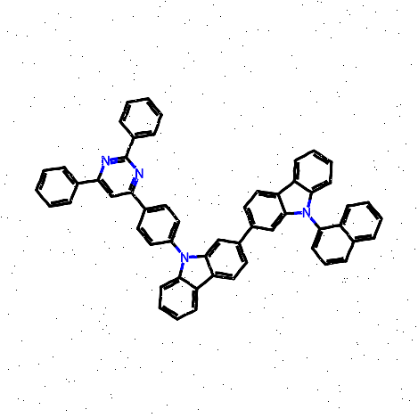 c1ccc(-c2cc(-c3ccc(-n4c5ccccc5c5ccc(-c6ccc7c8ccccc8n(-c8cccc9ccccc89)c7c6)cc54)cc3)nc(-c3ccccc3)n2)cc1